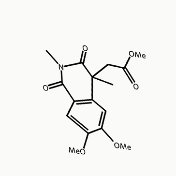 COC(=O)CC1(C)C(=O)N(C)C(=O)c2cc(OC)c(OC)cc21